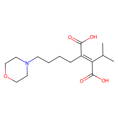 CC(C)C(C(=O)O)=C(CCCCN1CCOCC1)C(=O)O